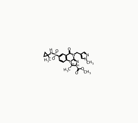 COC(=O)[C@@H]1N=C2N(Cc3cnn(C)c3)C(=O)c3cc(S(=O)(=O)NC4(C)CC4)ccc3N2[C@@H]1C